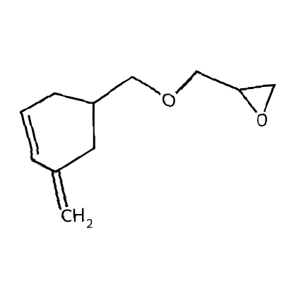 C=C1C=CCC(COCC2CO2)C1